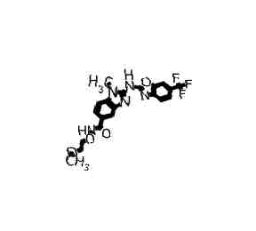 COCCONC(=O)c1ccc2c(c1)nc(Nc1nc3ccc(C(F)(F)F)cc3o1)n2C